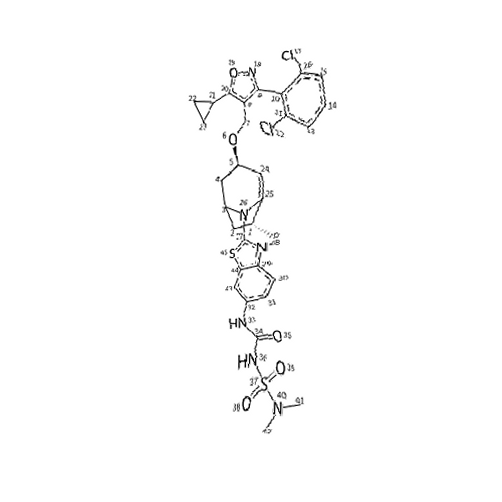 C[C@@H]1CC2C[C@@H](OCc3c(-c4c(Cl)cccc4Cl)noc3C3CC3)C=C1N2c1nc2ccc(NC(=O)NS(=O)(=O)N(C)C)cc2s1